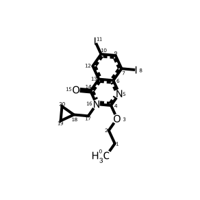 CCCOc1nc2c(I)cc(I)cc2c(=O)n1CC1CC1